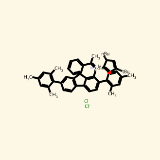 CCCCC1C=C(C(C)(C)C)C=[C]1/[Zr+2](=[C](\C)c1ccccc1)[c]1c(-c2c(C)cc(C)cc2C)ccc2c1Cc1cc(-c3c(C)cc(C)cc3C)ccc1-2.[Cl-].[Cl-]